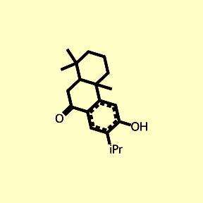 CC(C)c1cc2c(cc1O)C1(C)CCCC(C)(C)C1CC2=O